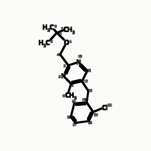 Cc1nc(COC(C)(C)C)ncc1Cc1ccccc1Cl